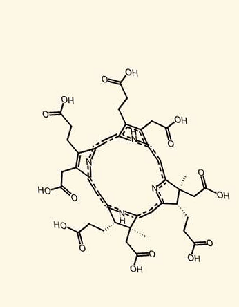 C[C@@]1(CC(=O)O)c2cc3[nH]c(cc4nc(cc5[nH]c(cc(n2)[C@H]1CCC(=O)O)[C@@](C)(CC(=O)O)[C@@H]5CCC(=O)O)C(CC(=O)O)=C4CCC(=O)O)c(CCC(=O)O)c3CC(=O)O